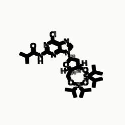 CC(C)C(=O)Nc1nc(Cl)c2ncn([C@@H]3C[C@@H]4O[Si](C(C)C)(C(C)C)O[Si](C(C)C)(C(C)C)OC[C@H]4O3)c2n1